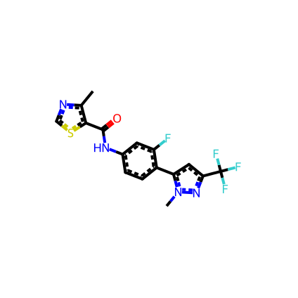 Cc1ncsc1C(=O)Nc1ccc(-c2cc(C(F)(F)F)nn2C)c(F)c1